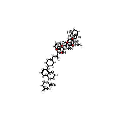 Nc1nnc(-c2ccccc2O)cc1N1C[C@H]2CC[C@@H](C1)N2c1cc(OC2CCN(C(=O)CN3CCC(c4cccc5c4OCCN5[C@H]4CCC(=O)NC4=O)CC3)CC2)ccc1F